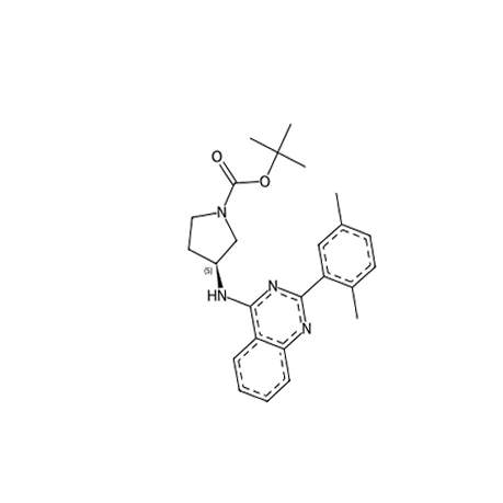 Cc1ccc(C)c(-c2nc(N[C@H]3CCN(C(=O)OC(C)(C)C)C3)c3ccccc3n2)c1